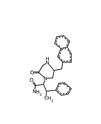 CC(c1ccccc1)C(C(N)=O)N1CC(Cc2ccc3ccccc3c2)NCC1=O